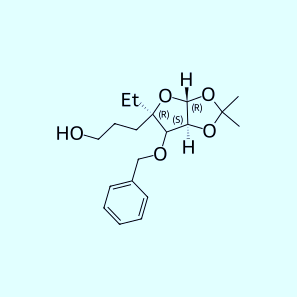 CC[C@]1(CCCO)O[C@@H]2OC(C)(C)O[C@H]2C1OCc1ccccc1